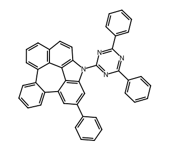 c1ccc(-c2cc3c4c5c6c(cccc6ccc5n(-c5nc(-c6ccccc6)nc(-c6ccccc6)n5)c4c2)-c2ccccc2-3)cc1